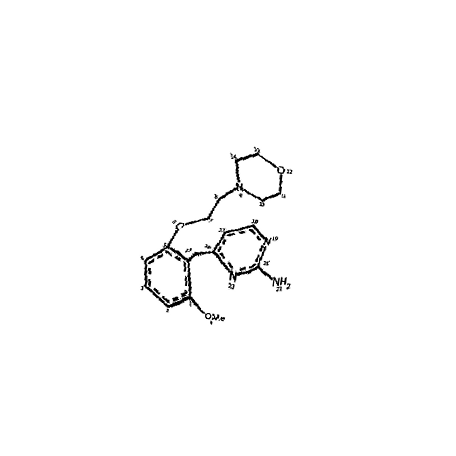 COc1cccc(OCCN2CCOCC2)c1-c1ccnc(N)n1